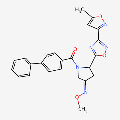 CON=C1CC(c2nc(-c3cc(C)on3)no2)N(C(=O)c2ccc(-c3ccccc3)cc2)C1